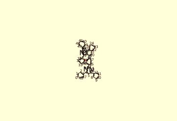 c1ccc(-c2cc(-c3ccccc3)nc(-c3ccc(-c4cc5ccccc5c5c4c(-c4ccccc4)nn5-c4ccccc4)cc3)n2)cc1